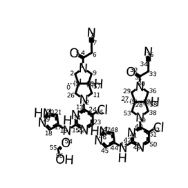 C[C@]12CN(C(=O)CC#N)C[C@H]1CN(c1nc(Nc3cn[nH]c3)ncc1Cl)C2.C[C@]12CN(C(=O)CC#N)C[C@H]1CN(c1nc(Nc3cn[nH]c3)ncc1Cl)C2.O=CO